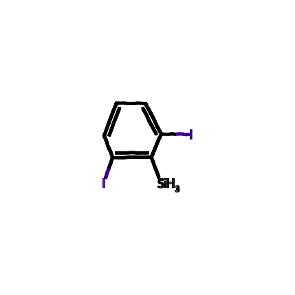 [SiH3]c1c(I)cccc1I